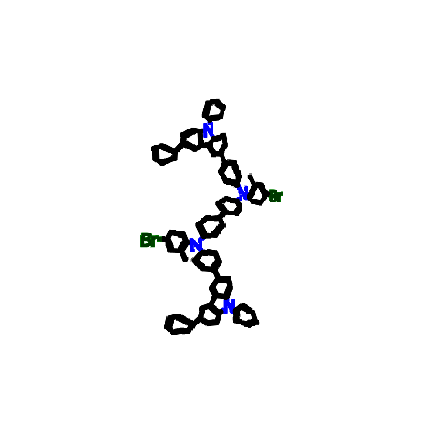 Cc1cc(Br)ccc1N(c1ccc(-c2ccc(N(c3ccc(-c4ccc5c(c4)c4cc(-c6ccccc6)ccc4n5-c4ccccc4)cc3)c3ccc(Br)cc3C)cc2)cc1)c1ccc(-c2ccc3c(c2)c2cc(-c4ccccc4)ccc2n3-c2ccccc2)cc1